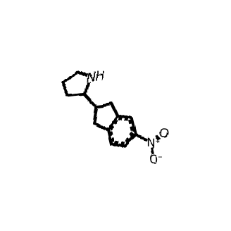 O=[N+]([O-])c1ccc2c(c1)CC(C1CCCN1)C2